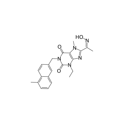 CCn1c(=O)n(Cc2ccc3c(C)cccc3c2)c(=O)c2c1nc(/C(C)=N\O)n2C